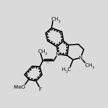 COc1ccc(/C(C)=C/n2c3c(c4cc(C)ccc42)CCN(C)C3C)cc1F